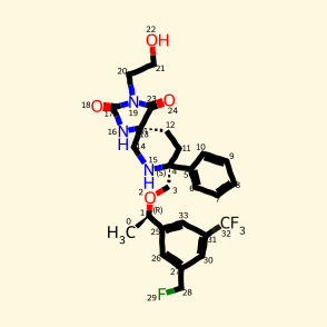 C[C@@H](OC[C@@]1(c2ccccc2)CC[C@]2(CN1)NC(=O)N(CCO)C2=O)c1cc(CF)cc(C(F)(F)F)c1